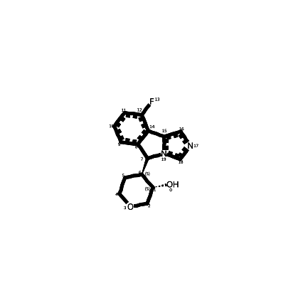 O[C@@H]1COCC[C@H]1C1c2cccc(F)c2-c2cncn21